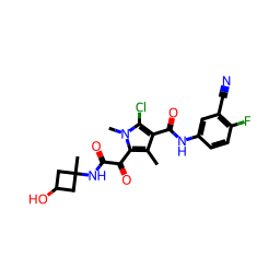 Cc1c(C(=O)Nc2ccc(F)c(C#N)c2)c(Cl)n(C)c1C(=O)C(=O)NC1(C)CC(O)C1